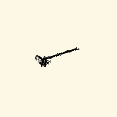 CC(=O)CCOCCOCCOCCOCCOCCOCCOCCOCCOCCOCCOCCOCCNC(=O)C(CN(C[C@@H](O)[C@H](O)[C@@H](O)[C@@H](O)CO)C[C@@H](O)[C@H](O)[C@@H](O)[C@@H](O)CO)NC[C@H](O)[C@@H](O)[C@H](O)[C@H](O)CO